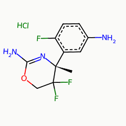 C[C@]1(c2cc(N)ccc2F)N=C(N)OCC1(F)F.Cl